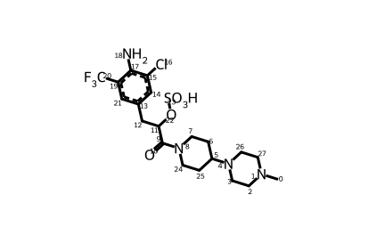 CN1CCN(C2CCN(C(=O)C(Cc3cc(Cl)c(N)c(C(F)(F)F)c3)OS(=O)(=O)O)CC2)CC1